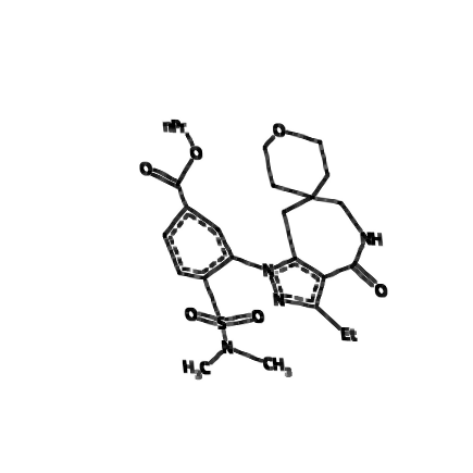 CCCOC(=O)c1ccc(S(=O)(=O)N(C)C)c(-n2nc(CC)c3c2CC2(CCOCC2)CNC3=O)c1